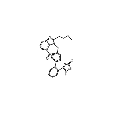 CCCCc1nc2cccc(C(=O)O)c2n1Cc1ccc(-c2ccccc2-c2nc(=O)s[nH]2)cc1